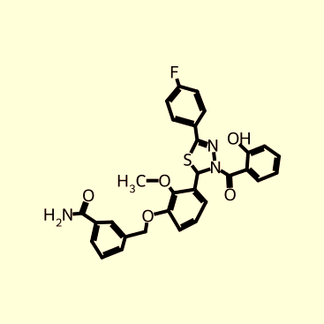 COc1c(OCc2cccc(C(N)=O)c2)cccc1C1SC(c2ccc(F)cc2)=NN1C(=O)c1ccccc1O